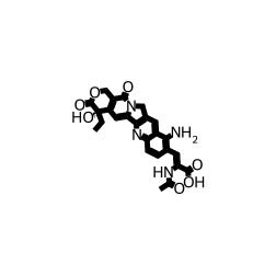 CC[C@@]1(O)C(=O)OCc2c1cc1n(c2=O)Cc2cc3c(N)c(C=C(NC(C)=O)C(=O)O)ccc3nc2-1